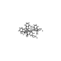 Cc1cc2c(c(C(C)Nc3ccccc3C(O)C(F)(F)F)c1)NC(N1Cc3ccccc3C1)(N1Cc3ccccc3C1)N(C)C2=O